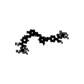 CN(C(=O)OC(C)(C)C)C1CCC(NCc2cc(OBOc3ccc(F)c(CNC4CCC(N(C)C(=O)OC(C)(C)C)CC4)c3)ccc2F)CC1